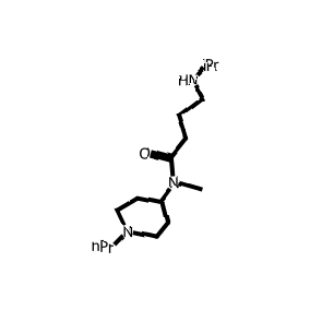 CCCN1CCC(N(C)C(=O)CCCNC(C)C)CC1